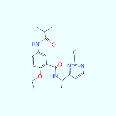 CCOc1ccc(NC(=O)C(C)C)cc1C(=O)NC(C)c1ccnc(Cl)n1